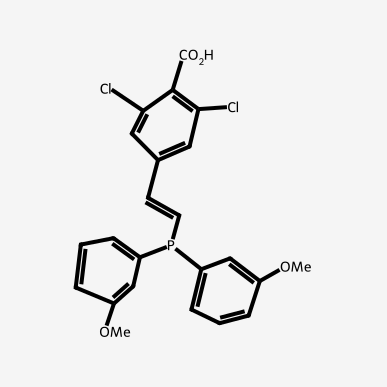 COc1cccc(P(C=Cc2cc(Cl)c(C(=O)O)c(Cl)c2)c2cccc(OC)c2)c1